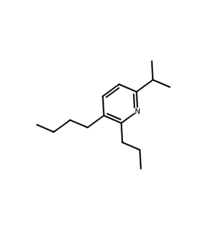 CCCCc1ccc(C(C)C)nc1CCC